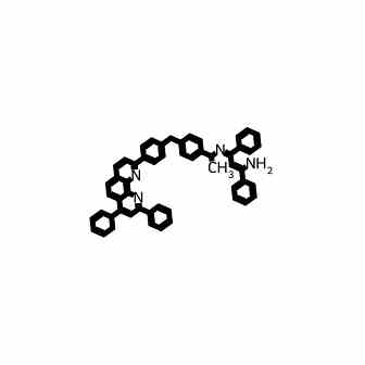 CC(/N=C(\C=C(/N)c1ccccc1)c1ccccc1)c1ccc(Cc2ccc(-c3ccc4ccc5c(C6C=CC=CC6)cc(-c6ccccc6)nc5c4n3)cc2)cc1